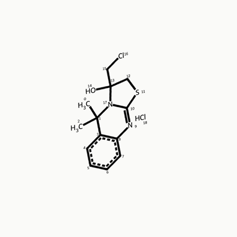 CC1(C)c2ccccc2N=C2SCC(O)(CCl)N21.Cl